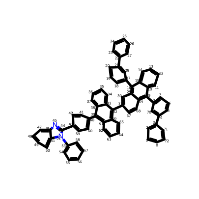 c1ccc(-c2cccc(-c3c4ccccc4c(-c4cccc(-c5ccccc5)c4)c4cc(-c5c6ccccc6c(-c6ccc(-c7nc8ccccc8n7-c7ccccc7)cc6)c6ccccc56)ccc34)c2)cc1